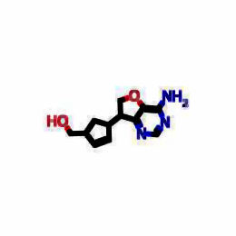 Nc1ncnc2c1OCC2C1C=CC(CO)C1